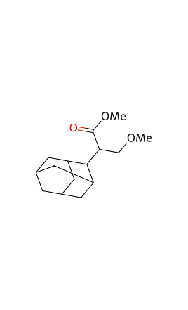 COCC(C(=O)OC)C1C2CC3CC(C2)CC1C3